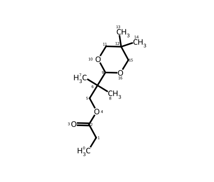 CCC(=O)OCC(C)(C)C1OCC(C)(C)CO1